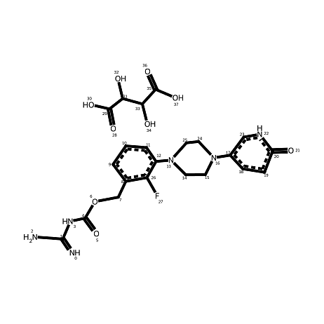 N=C(N)NC(=O)OCc1cccc(N2CCN(c3ccc(=O)[nH]c3)CC2)c1F.O=C(O)C(O)C(O)C(=O)O